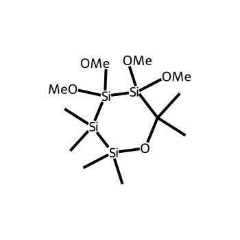 CO[Si]1(OC)C(C)(C)O[Si](C)(C)[Si](C)(C)[Si]1(OC)OC